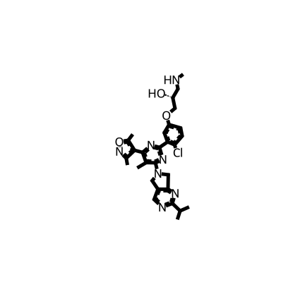 CNC[C@@H](O)COc1ccc(Cl)c(-c2nc(-c3c(C)noc3C)c(C)c(N3Cc4cnc(C(C)C)nc4C3)n2)c1